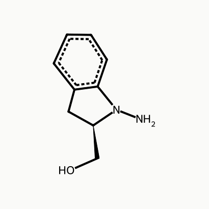 NN1c2ccccc2C[C@@H]1CO